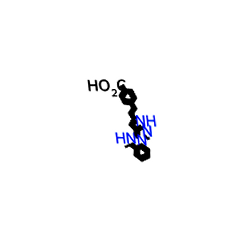 C[C@@H](Nc1ncnc2[nH]c(CCc3ccc(C(=O)O)cc3)cc12)c1ccccc1